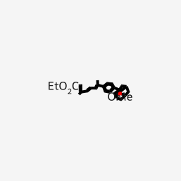 CCOC(=O)C=C(C)C=CC=C(C)c1ccc(C23CC4CC(CC(C4)C2)C3)c(OC)c1